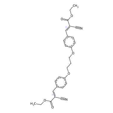 CCOC(=O)/C(C#N)=C/c1ccc(OCCCOc2ccc(/C=C(\C#N)C(=O)OCC)cc2)cc1